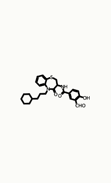 O=Cc1cc(C(=O)NC2CSc3ccccc3N(CCCC3CCCCC3)C2=O)ccc1O